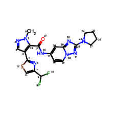 Cn1ncc(-c2nc(C(F)F)cs2)c1C(=O)Nc1ccn2nc(N3CCCC3)nc2c1